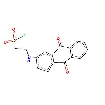 O=C1c2ccccc2C(=O)c2cc(NCCS(=O)(=O)F)ccc21